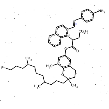 Cc1cc(OC(=O)C(CC(=O)O)[n+]2c(/C=C/c3ccc(N)cc3)ccc3ccccc32)cc2c1OC(C)(CCCC(C)CCCC(C)CCCC(C)C)CC2